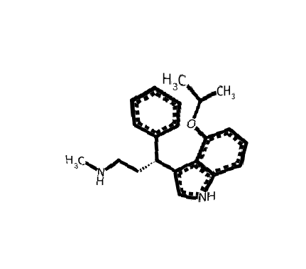 CNCC[C@H](c1ccccc1)c1c[nH]c2cccc(OC(C)C)c12